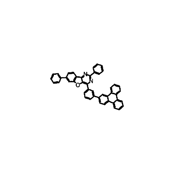 c1ccc(-c2ccc3c(c2)oc2c(-c4cccc(-c5ccc6c7ccccc7c7ccccc7c6c5)c4)nc(-c4ccccc4)nc23)cc1